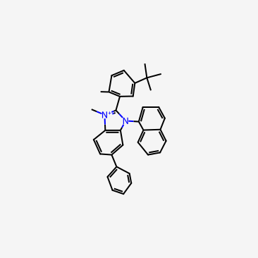 Cc1ccc(C(C)(C)C)cc1-c1n(-c2cccc3ccccc23)c2cc(-c3ccccc3)ccc2[n+]1C